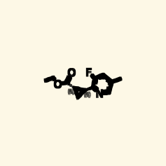 CCOC(=O)[C@H]1C[C@@H]1c1ncc(C)cc1F